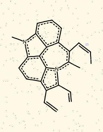 C=Cc1c(C=C)n2c(C)c(/C=C\C)c3cccc4c3c3c(ccc1c32)n4C